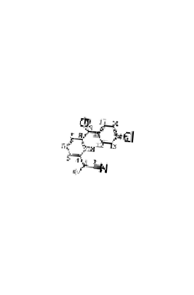 CC(C#N)c1cccc(C(=O)c2ccc(Cl)cc2)c1